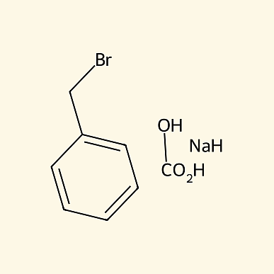 BrCc1ccccc1.O=C(O)O.[NaH]